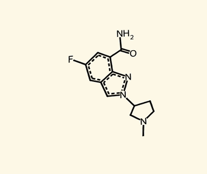 CN1CCC(n2cc3cc(F)cc(C(N)=O)c3n2)C1